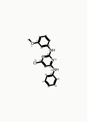 COc1cccc(Nc2nc(Cl)cc(Nc3ccccc3)n2)c1